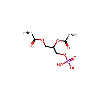 CCCCCCCCCC(=O)OCC(COP(=O)(O)O)OC(=O)CCCCCCCCC